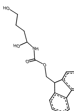 O=C(NC(O)CCCO)OCC1c2ccccc2-c2ccccc21